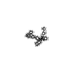 c1ccc(-c2ccc(-c3nc(-n4c5ccc(-c6ccc7c(c6)-c6ccccc6C76C7CC8CC(C7)CC6C8)cc5c5c6ccccc6ccc54)nc4ccccc34)cc2)cc1